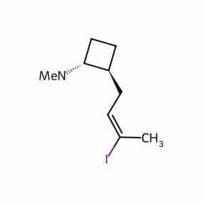 CN[C@@H]1CC[C@H]1C/C=C(\C)I